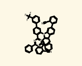 N#Cc1ccccc1-c1ccc2c3ccc(-c4ccccc4C#N)cc3n(-c3cc(-c4cccc(C(F)(F)F)c4)ccc3-c3nc(-c4ccccc4)nc(-c4ccccc4)n3)c2c1